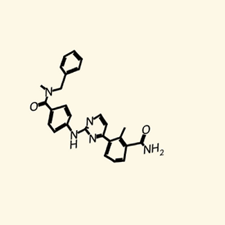 Cc1c(C(N)=O)cccc1-c1ccnc(Nc2ccc(C(=O)N(C)Cc3ccccc3)cc2)n1